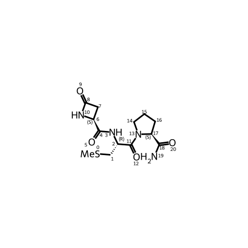 CSC[C@H](NC(=O)[C@@H]1CC(=O)N1)C(=O)N1CCC[C@H]1C(N)=O